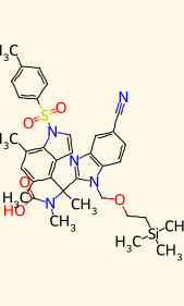 Cc1ccc(S(=O)(=O)n2ccc3c(C(C)(c4nc5cc(C#N)ccc5n4COCC[Si](C)(C)C)N(C)C(=O)O)c(C)cc(C)c32)cc1